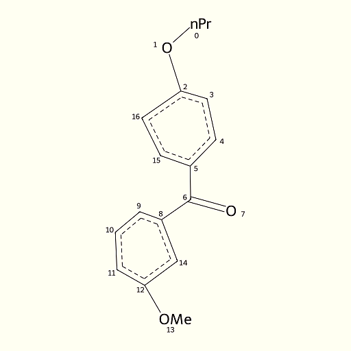 CCCOc1ccc(C(=O)c2cccc(OC)c2)cc1